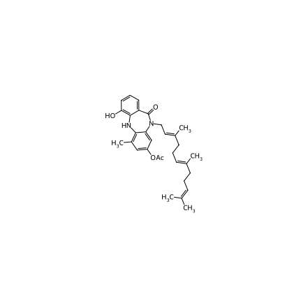 CC(=O)Oc1cc(C)c2c(c1)N(C/C=C(\C)CC/C=C(\C)CCC=C(C)C)C(=O)c1cccc(O)c1N2